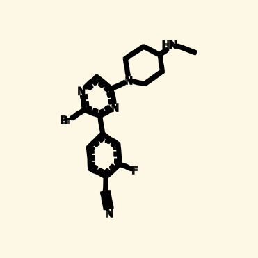 CNC1CCN(c2cnc(Br)c(-c3ccc(C#N)c(F)c3)n2)CC1